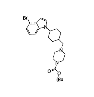 CC(C)(C)OC(=O)N1CCN(CC2CCC(n3ccc4c(Br)cccc43)CC2)CC1